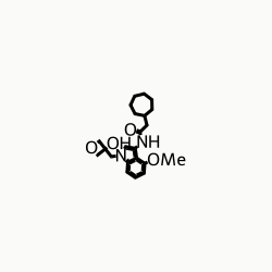 COc1cccc2c1c(NC(=O)CC1CCCCCC1)cn2CC1(O)COC1